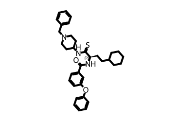 O=C(N[C@H](CCC1CCCCC1)C(=S)NC1CCN(Cc2ccccc2)CC1)c1cccc(Oc2ccccc2)c1